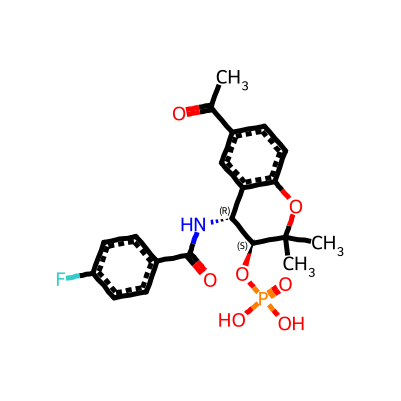 CC(=O)c1ccc2c(c1)[C@@H](NC(=O)c1ccc(F)cc1)[C@H](OP(=O)(O)O)C(C)(C)O2